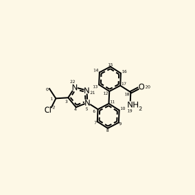 CC(Cl)c1cn(-c2ccccc2-c2ccccc2C(N)=O)nn1